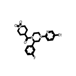 CCc1ccc(N2CCN(C(=O)C3CCS(=O)(=O)CC3)C(c3cccc(F)c3)C2)nc1